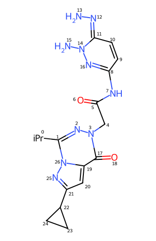 CC(C)c1nn(CC(=O)Nc2cc/c(=N/N)n(N)n2)c(=O)c2cc(C3CC3)nn12